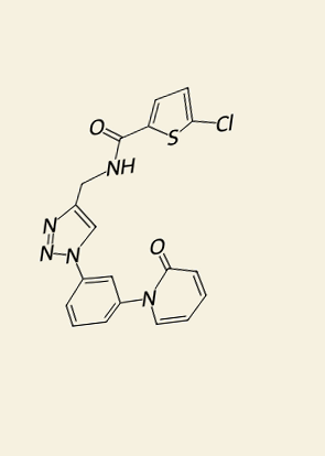 O=C(NCc1cn(-c2cccc(-n3ccccc3=O)c2)nn1)c1ccc(Cl)s1